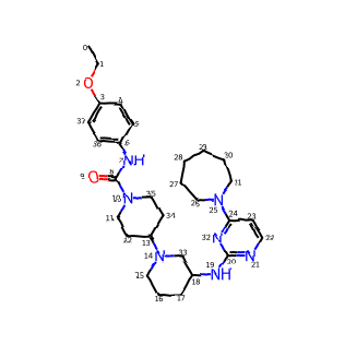 CCOc1ccc(NC(=O)N2CCC(N3CCCC(Nc4nccc(N5CCCCCC5)n4)C3)CC2)cc1